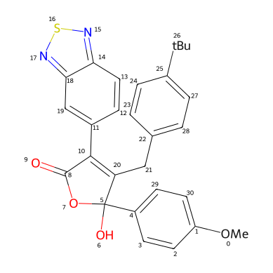 COc1ccc(C2(O)OC(=O)C(c3ccc4nsnc4c3)=C2Cc2ccc(C(C)(C)C)cc2)cc1